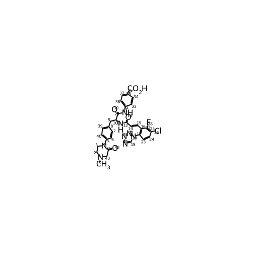 CN1CCN(c2ccc(CC(NC(=O)C=Cc3c(-n4cnnn4)ccc(Cl)c3F)C(=O)Nc3ccc(C(=O)O)cc3)cc2)C(=O)C1